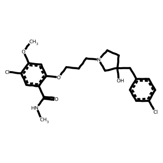 CNC(=O)c1cc(Cl)c(OC)cc1OCCCN1CCC(O)(Cc2ccc(Cl)cc2)C1